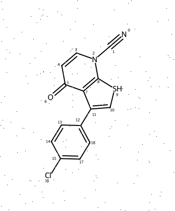 N#Cn1ccc(=O)c2c1[SH]C=C2c1ccc(Cl)cc1